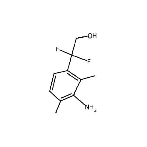 Cc1ccc(C(F)(F)CO)c(C)c1N